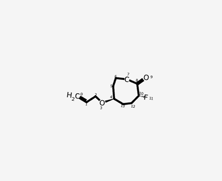 C=CCO[C@H]1CCCC(=O)[C@H](F)CC1